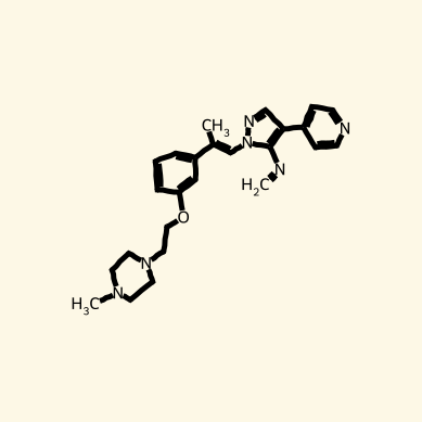 C=Nc1c(-c2ccncc2)cnn1/C=C(\C)c1cccc(OCCN2CCN(C)CC2)c1